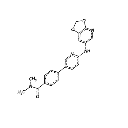 CN(C)C(=O)c1ccc(-c2ccc(Nc3cnc4c(c3)OCO4)nc2)cc1